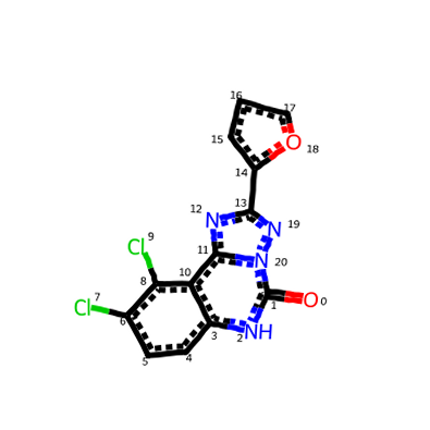 O=c1[nH]c2ccc(Cl)c(Cl)c2c2nc(-c3ccco3)nn12